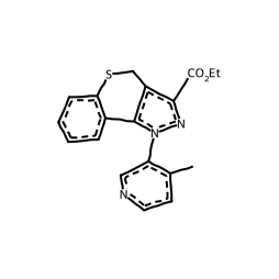 CCOC(=O)c1nn(-c2cnccc2C)c2c1CSc1ccccc1-2